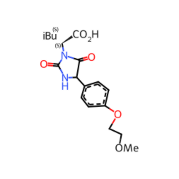 CC[C@H](C)[C@@H](C(=O)O)N1C(=O)NC(c2ccc(OCCOC)cc2)C1=O